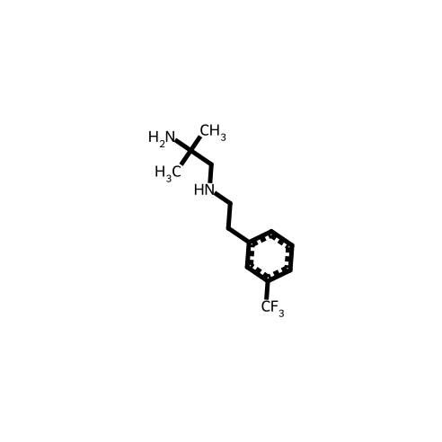 CC(C)(N)CNCCc1cccc(C(F)(F)F)c1